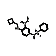 CO[N+](=O)c1cc(N(C)S(=O)(=O)c2ccccc2)ccc1NCC1CCC1